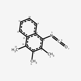 Cc1c(C)c(N=C=O)c2ccccc2c1C